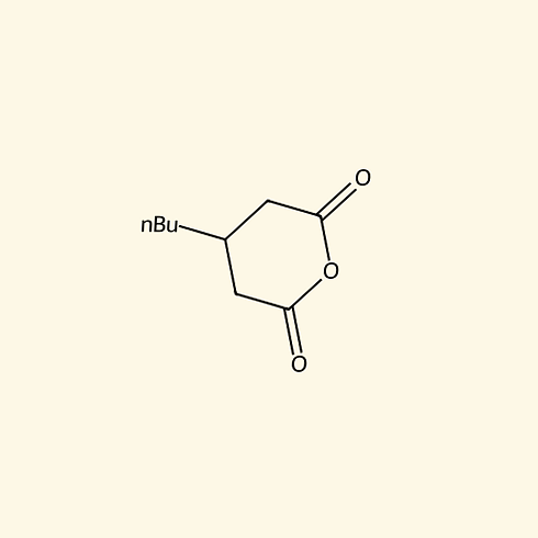 CCCCC1CC(=O)OC(=O)C1